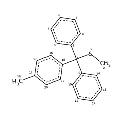 CSC(c1ccccc1)(c1ccccc1)c1ccc(C)cc1